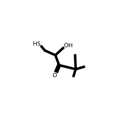 CC(C)(C)C(=O)C(O)CS